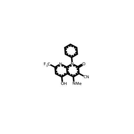 CNc1c(C#N)c(=O)n(-c2ccccc2)c2nc(C(F)(F)F)cc(O)c12